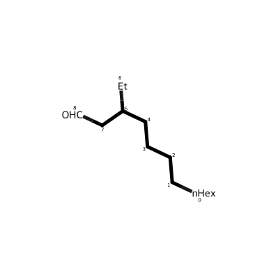 CCCCCCCCCCC(CC)CC=O